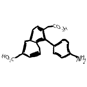 Nc1ccc(-c2c(C(=O)O)ccc3cc(C(=O)O)ccc23)cc1